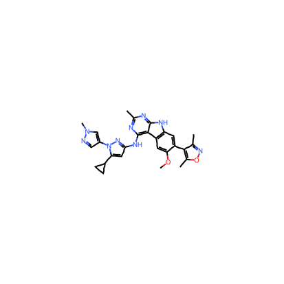 COc1cc2c(cc1-c1c(C)noc1C)[nH]c1nc(C)nc(Nc3cc(C4CC4)n(-c4cnn(C)c4)n3)c12